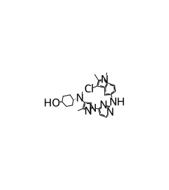 Cc1nn(-c2ccnc(Nc3ccc4c(c3)c(Cl)c(C)n4C)n2)cc1N(C)[C@H]1CC[C@H](O)CC1